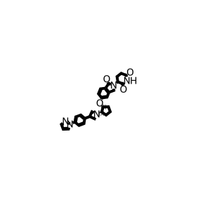 O=C1CCC(N2Cc3cc(O[C@@H]4CCC[C@@H]4N4CC(c5ccc(-n6cccn6)cc5)C4)ccc3C2=O)C(=O)N1